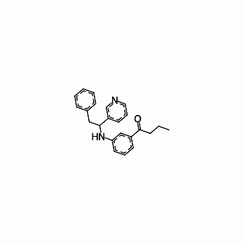 CCCC(=O)c1cccc(NC(Cc2ccccc2)c2cccnc2)c1